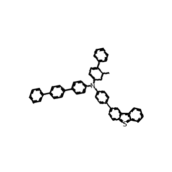 CC1CC(N(c2ccc(-c3ccc(-c4ccccc4)cc3)cc2)c2ccc(-c3ccc4sc5ccccc5c4c3)cc2)=CC=C1c1ccccc1